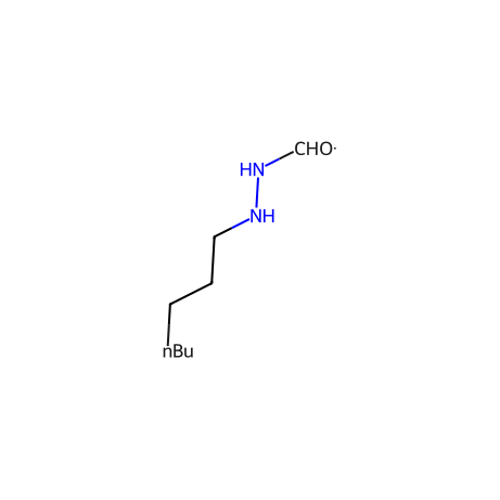 CCCCCCCNN[C]=O